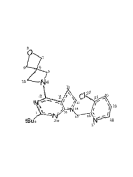 CC(C)(C)c1nc(N2CC3(COC3)C2)c2ccn(Cc3ncccc3Cl)c2n1